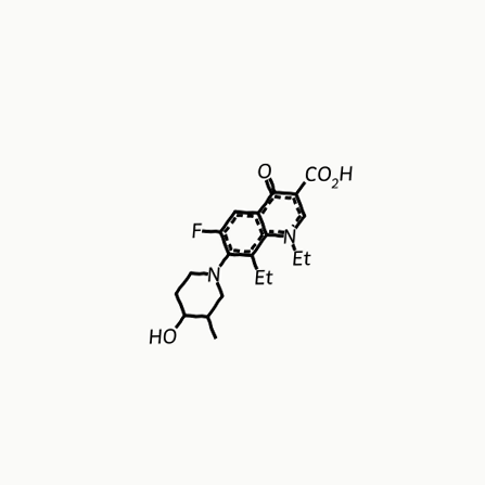 CCc1c(N2CCC(O)C(C)C2)c(F)cc2c(=O)c(C(=O)O)cn(CC)c12